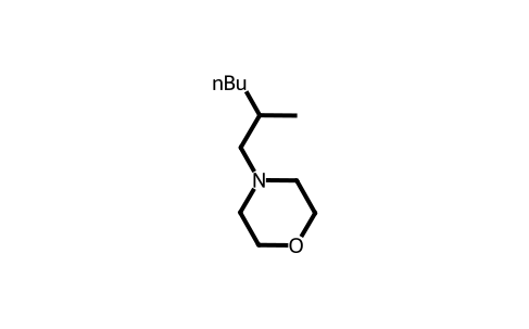 CCCCC(C)CN1CCOCC1